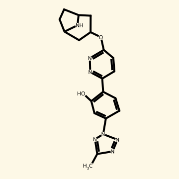 Cc1nnn(-c2ccc(-c3ccc(OC4CC5CCC(C4)N5)nn3)c(O)c2)n1